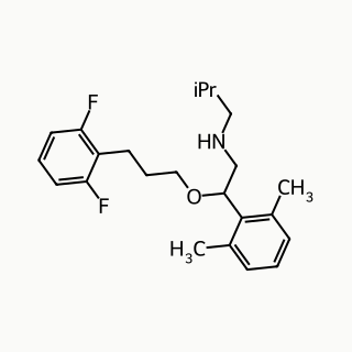 Cc1cccc(C)c1C(CNCC(C)C)OCCCc1c(F)cccc1F